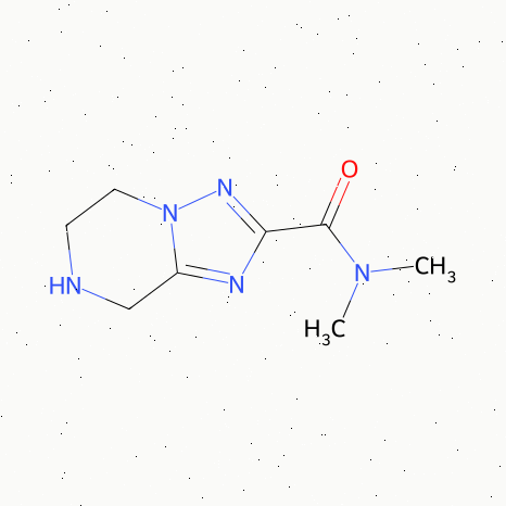 CN(C)C(=O)c1nc2n(n1)CCNC2